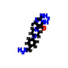 Cc1nc(N)[nH]c(=O)c1N1CCN(c2ccc(CN)cc2)CC1